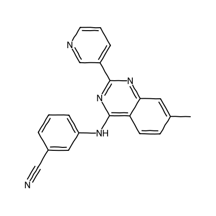 Cc1ccc2c(Nc3cccc(C#N)c3)nc(-c3cccnc3)nc2c1